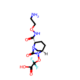 NCCONC(=O)[C@@H]1CC[C@@H]2CN1C(=O)N2OC(F)(F)C(=O)O